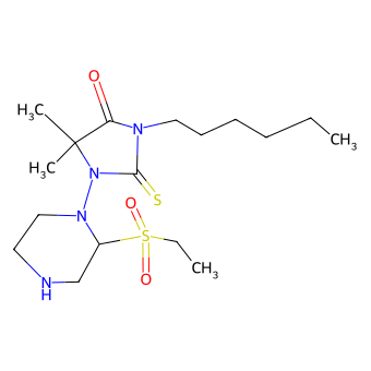 CCCCCCN1C(=O)C(C)(C)N(N2CCNCC2S(=O)(=O)CC)C1=S